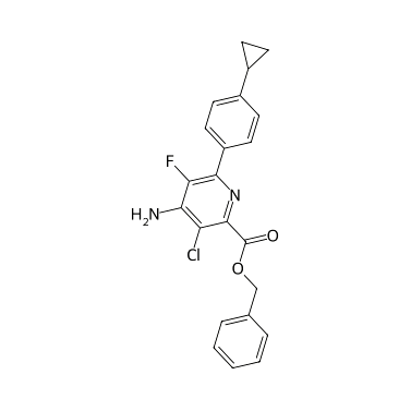 Nc1c(F)c(-c2ccc(C3CC3)cc2)nc(C(=O)OCc2ccccc2)c1Cl